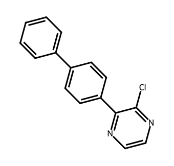 Clc1nccnc1-c1ccc(-c2ccccc2)cc1